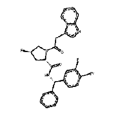 CC(C)c1ccc([C@@H](NC(=O)[C@@H]2C[C@@H](F)CN2C(=O)Cc2cnc3ccccn23)c2ccccc2)cc1F